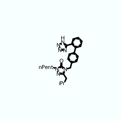 CCCCCn1nc(CC(C)C)n(Cc2ccc(-c3ccccc3-c3nnn[nH]3)cc2)c1=O